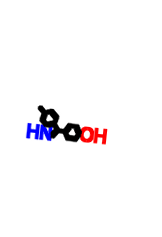 Cc1ccc2c(-c3ccc(O)cc3)c[nH]c2c1